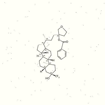 C[C@H](CC[C@@]1(OC(=O)c2ccccc2)CCOC1)[C@H]1CC[C@H]2[C@@H]3CC[C@H]4C[C@](O)(C(F)(F)F)CC[C@]4(C)[C@H]3CC[C@]12C